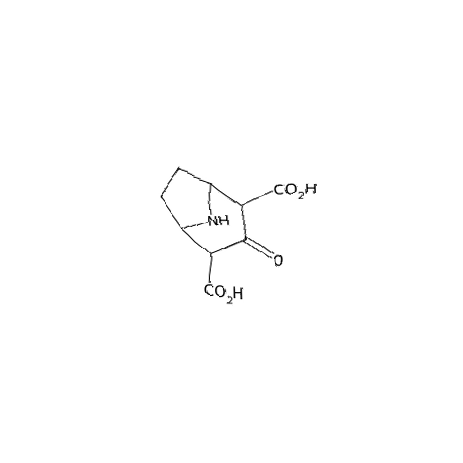 O=C(O)C1C(=O)C(C(=O)O)C2CCC1N2